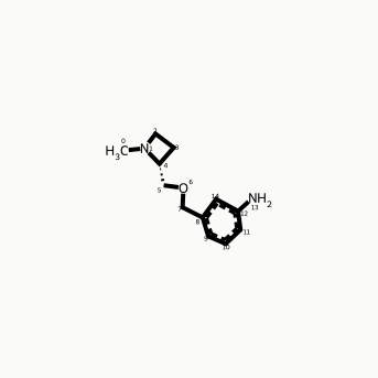 CN1CC[C@@H]1COCc1cccc(N)c1